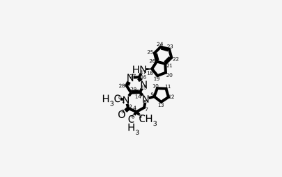 CN1C(=O)C(C)(C)CN(C2CCCC2)c2nc(N[C@@H]3CCc4ccccc43)ncc21